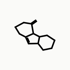 C=C1CCCC2=CC3CCCCC3C12